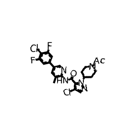 CC(=O)N1CCC(n2ncc(Cl)c2C(=O)Nc2ncc(-c3cc(F)c(Cl)c(F)c3)cc2C)CC1